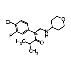 CC(C)C(=O)[C@H](CNC1CCOCC1)c1ccc(Cl)c(F)c1